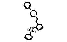 O=S(=O)(Nc1ccccc1CCN1CCN(c2ccccc2)CC1)c1ccccn1